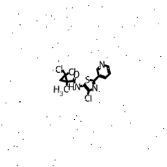 CC1(C(=O)Nc2sc(-c3cccnc3)nc2Cl)CC1(Cl)Cl